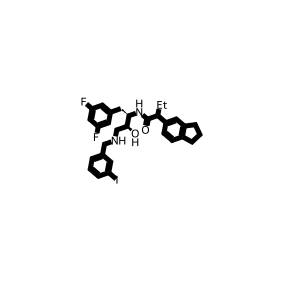 CCC(C(=O)N[C@@H](Cc1cc(F)cc(F)c1)[C@@H](O)CNCc1cccc(I)c1)c1ccc2c(c1)CCC2